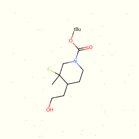 CC(C)(C)OC(=O)N1CCC(CCO)C(C)(F)C1